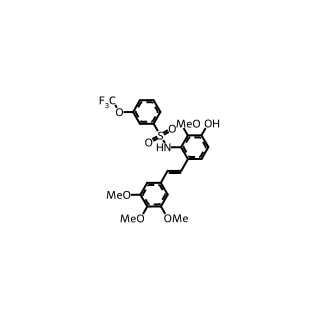 COc1cc(C=Cc2ccc(O)c(OC)c2NS(=O)(=O)c2cccc(OC(F)(F)F)c2)cc(OC)c1OC